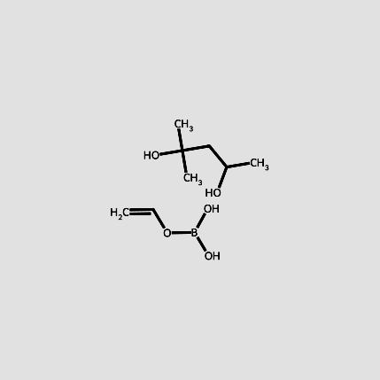 C=COB(O)O.CC(O)CC(C)(C)O